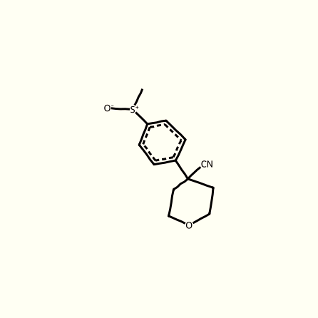 C[S+]([O-])c1ccc(C2(C#N)CCOCC2)cc1